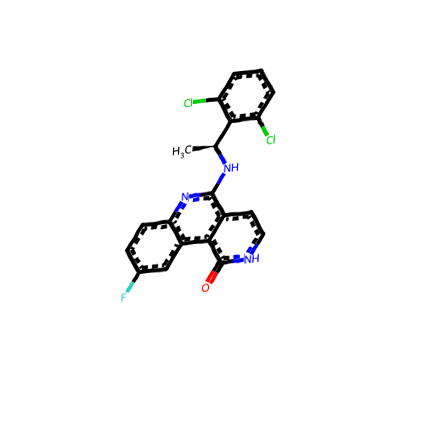 C[C@H](Nc1nc2ccc(F)cc2c2c(=O)[nH]ccc12)c1c(Cl)cccc1Cl